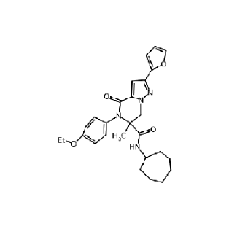 CCOc1ccc(N2C(=O)c3cc(-c4ccco4)nn3CC2(C)C(=O)NC2CCCCCC2)cc1